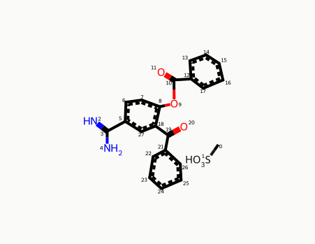 CS(=O)(=O)O.N=C(N)c1ccc(OC(=O)c2ccccc2)c(C(=O)c2ccccc2)c1